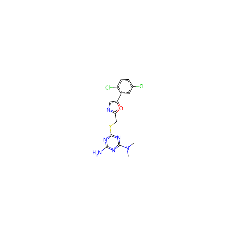 CN(C)c1nc(N)nc(SCc2ncc(-c3cc(Cl)ccc3Cl)o2)n1